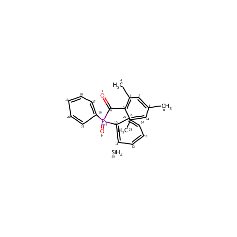 Cc1cc(C)c(C(=O)P(=O)(c2ccccc2)c2ccccc2)c(C)c1.[SiH4]